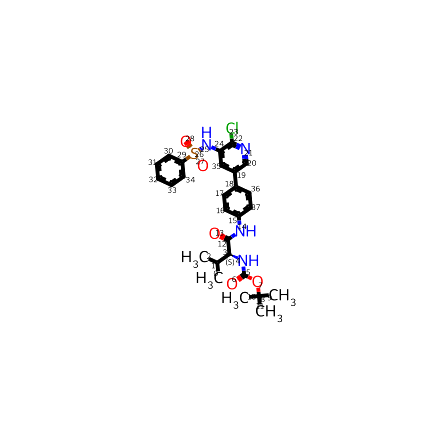 CC(C)[C@H](NC(=O)OC(C)(C)C)C(=O)Nc1ccc(-c2cnc(Cl)c(NS(=O)(=O)c3ccccc3)c2)cc1